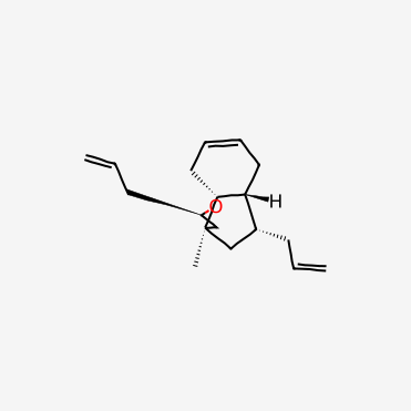 C=CC[C@@H]1C[C@@]2(C)C[C@@H](CC=C)[C@H]3CC=CC[C@@]32O1